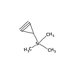 C[Si](C)(C)C1C#C1